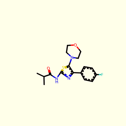 CC(C)C(=O)Nc1nc(-c2ccc(F)cc2)c(N2CCOCC2)s1